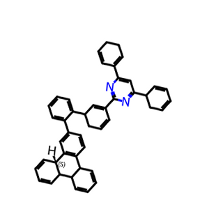 C1=CCC(c2cc(C3=CCCC=C3)nc(C3=CC(c4ccccc4-c4ccc5c(c4)[C@H]4C=CC=CC4C4C=CC=CC54)CC=C3)n2)C=C1